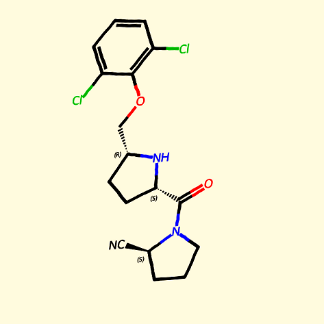 N#C[C@@H]1CCCN1C(=O)[C@@H]1CC[C@H](COc2c(Cl)cccc2Cl)N1